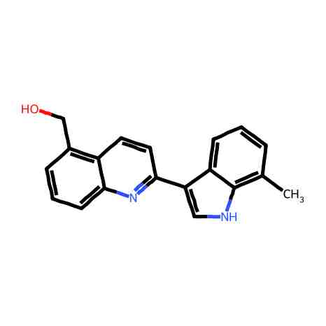 Cc1cccc2c(-c3ccc4c(CO)cccc4n3)c[nH]c12